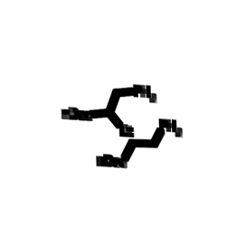 CCCCCCCCCCC(CC)CP.CCCCCCCCCCCCP